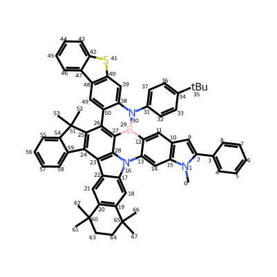 Cn1c(-c2ccccc2)cc2cc3c(cc21)-n1c2cc4c(cc2c2c5c(c6c(c21)B3N(c1ccc(C(C)(C)C)cc1)c1cc2sc3ccccc3c2cc1-6)C(C)(C)c1ccccc1-5)C(C)(C)CCC4(C)C